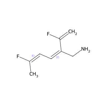 C=C(F)/C(=C\C=C(/C)F)CN